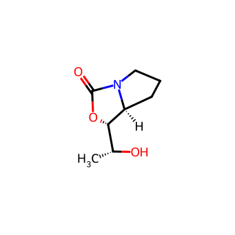 C[C@@H](O)[C@@H]1OC(=O)N2CCC[C@@H]12